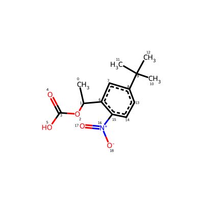 CC(OC(=O)O)c1cc(C(C)(C)C)ccc1[N+](=O)[O-]